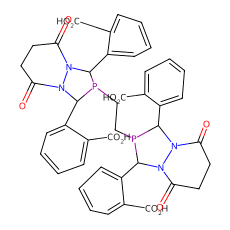 O=C(O)c1ccccc1C1N2C(=O)CCC(=O)N2C(c2ccccc2C(=O)O)P1CCP1C(c2ccccc2C(=O)O)N2C(=O)CCC(=O)N2C1c1ccccc1C(=O)O